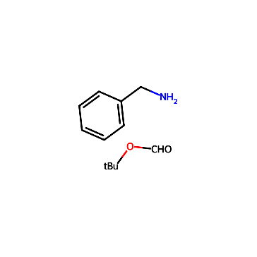 CC(C)(C)OC=O.NCc1ccccc1